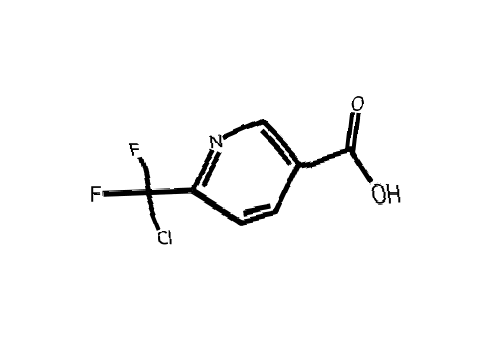 O=C(O)c1ccc(C(F)(F)Cl)nc1